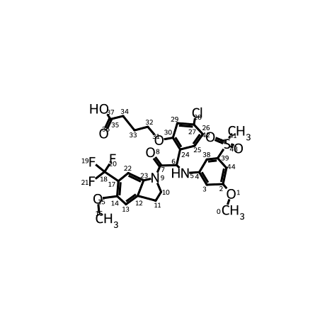 COc1cc(NC(C(=O)N2CCc3cc(OC)c(C(F)(F)F)cc32)c2ccc(Cl)cc2OCCCC(=O)O)cc(S(C)(=O)=O)c1